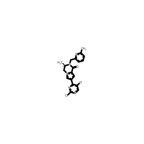 Cc1cccc(CN2C(=O)c3cc(-c4nc(Cl)ncc4Cl)cn3C[C@H]2C)n1